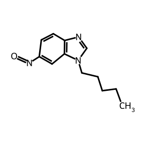 CCCCCn1cnc2ccc(N=O)cc21